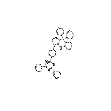 c1ccc(-c2nc(-c3ccccc3)nc(-c3ccc(-c4cccc5c4Sc4ccccc4C5(c4ccccc4)c4ccccc4)cc3)n2)cc1